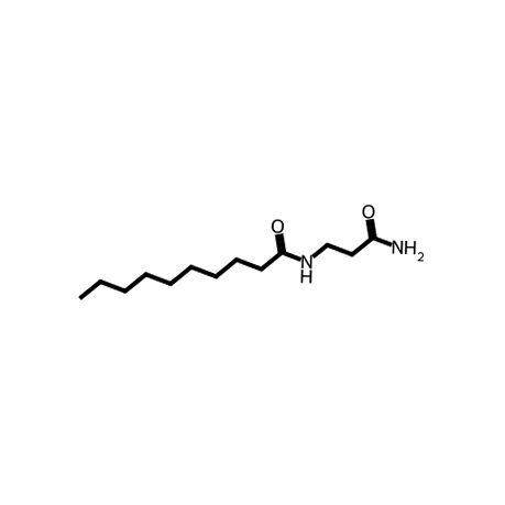 CCCCCCCCCC(=O)NCCC(N)=O